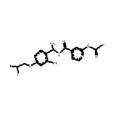 Cc1cc(OCC(F)F)ccc1C(C)NC(=O)c1ccnc(NC(=O)C(C)C)c1